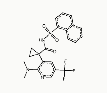 CN(C)c1ncc(C(F)(F)F)cc1C1(C(=O)NS(=O)(=O)c2cccc3ccccc23)CC1